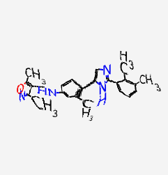 Cc1cc(NCc2c(C)noc2C)ccc1-c1cnc(-c2cccc(C)c2C)[nH]1